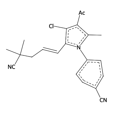 CC(=O)c1c(Cl)c(C=CCC(C)(C)C#N)n(-c2ccc(C#N)cc2)c1C